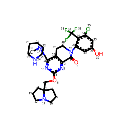 O=C1c2nc(OCC34CCCN3CCC4)nc(N3CC4CCC3CN4)c2CCN1c1cc(O)cc(Cl)c1C(F)(F)F